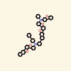 c1ccc(-c2ccc(N(c3cccc(-c4ccc5cc6c(cc5c4)oc4c6ccc5oc6c(N(c7ccccc7)c7ccc8c(c7)oc7ccccc78)cccc6c54)c3)c3cccc4c3oc3ccc5c6cc7ccccc7cc6oc5c34)cc2)cc1